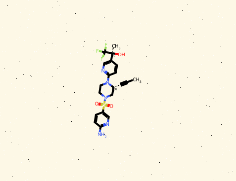 CC#C[C@@H]1CN(S(=O)(=O)c2ccc(N)nc2)CCN1c1ccc([C@](C)(O)C(F)(F)F)cn1